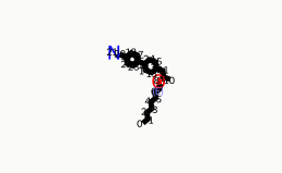 CCCCCC/C=C/OC(C)CC1CCC(c2ccc(C#N)cc2)CC1